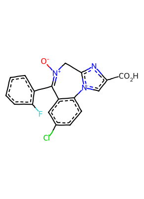 O=C(O)c1cn2c(n1)C[N+]([O-])=C(c1ccccc1F)c1cc(Cl)ccc1-2